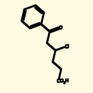 O=C(O)CCC(Cl)CC(=O)c1ccccc1